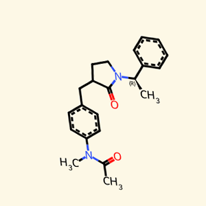 CC(=O)N(C)c1ccc(CC2CCN([C@H](C)c3ccccc3)C2=O)cc1